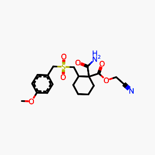 COc1ccc(CS(=O)(=O)CC2CCCCC2(C(N)=O)C(=O)OCC#N)cc1